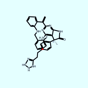 C=C(c1nc(N)c2c(n1)NC(=O)[C@@]2(C)c1ccc(CCC2=NNNN2)cc1)c1ccccc1NCc1ccccc1F